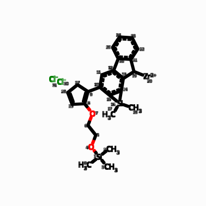 C[Si](C)(C)OCCOC1=C(c2cc3c(c4c2[Si]4(C)C)[CH]([Zr+2])c2ccccc2-3)CC=C1.[Cl-].[Cl-]